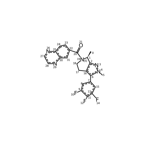 C[C@H]1c2nn(C)c(-c3cc(F)c(F)c(F)c3)c2CCN1C(=O)c1ccc2nccnc2c1